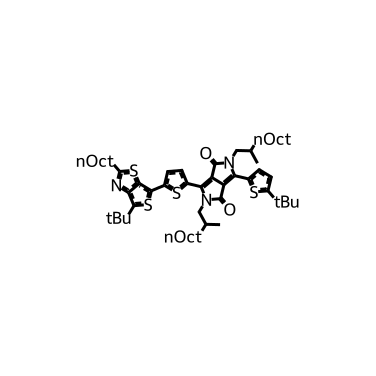 CCCCCCCCc1nc2c(C(C)(C)C)sc(-c3ccc(C4=C5C(=O)N(CC(C)CCCCCCCC)C(c6ccc(C(C)(C)C)s6)=C5C(=O)N4CC(C)CCCCCCCC)s3)c2s1